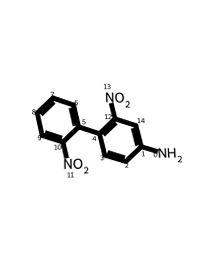 Nc1ccc(-c2ccccc2[N+](=O)[O-])c([N+](=O)[O-])c1